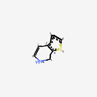 C1=Cc2ccsc2CN1